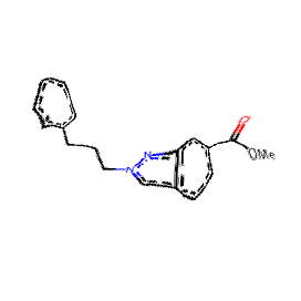 COC(=O)c1ccc2cn(CCCc3ccccc3)nc2c1